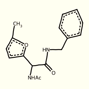 CC(=O)NC(C(=O)NCc1ccccc1)c1ccc(C)o1